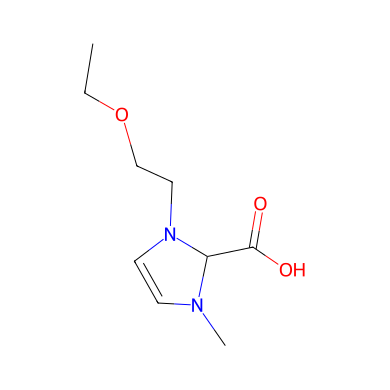 CCOCCN1C=CN(C)C1C(=O)O